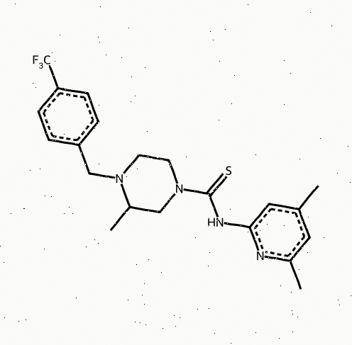 Cc1cc(C)nc(NC(=S)N2CCN(Cc3ccc(C(F)(F)F)cc3)C(C)C2)c1